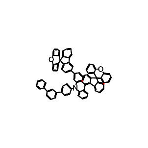 c1ccc(-c2cccc(-c3ccc(N(c4cccc(-c5ccc6c(c5)-c5ccccc5C65c6ccccc6Oc6ccccc65)c4)c4ccccc4-c4cccc5c4-c4ccccc4C54c5ccccc5Oc5ccccc54)cc3)c2)cc1